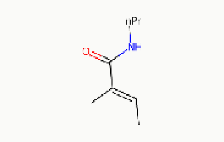 CC=C(C)C(=O)NCCC